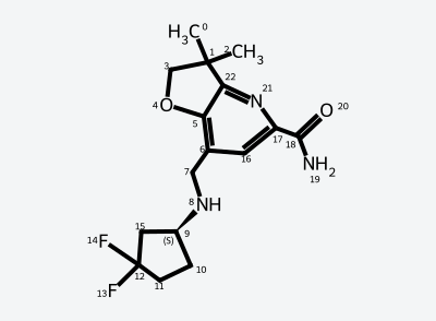 CC1(C)COc2c(CN[C@H]3CCC(F)(F)C3)cc(C(N)=O)nc21